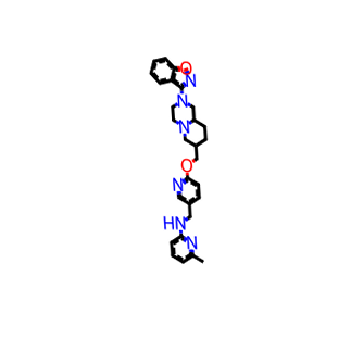 Cc1cccc(NCc2ccc(OCC3CCC4CN(c5noc6ccccc56)CCN4C3)nc2)n1